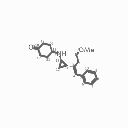 COCC/C(=C\c1ccccc1)[C@@H]1C[C@H]1NC1CCC(=O)CC1